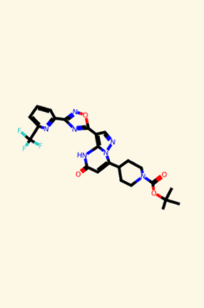 CC(C)(C)OC(=O)N1CCC(c2cc(=O)[nH]c3c(-c4nc(-c5cccc(C(F)(F)F)n5)no4)cnn23)CC1